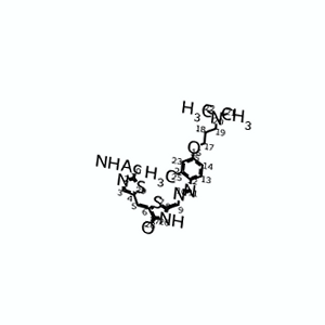 CC(=O)Nc1ncc(C=c2sc(=CN=Nc3ccc(OCCCN(C)C)cc3C)[nH]c2=O)s1